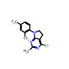 Cc1nc(Cl)c2c(n1)N(c1ccc(C(F)(F)F)cc1C(F)(F)F)CC2